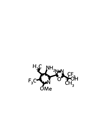 C=Cc1c(N)c(-c2nnc([C@](C)(O)C(F)(F)F)o2)nc(OC)c1C(F)(F)F